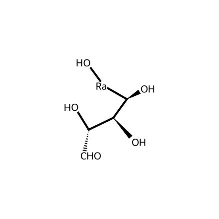 O=C[C@H](O)[C@H](O)[C@H](O)[Ra][OH]